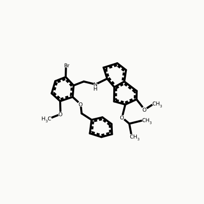 COc1cc2cccc(NCc3c(Br)ccc(OC)c3OCc3ccccc3)c2cc1OC(C)C